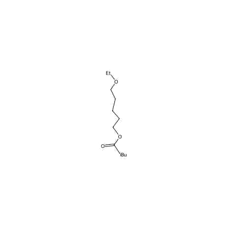 CCOCCCCCOC(=O)C(C)CC